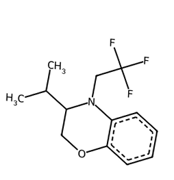 CC(C)C1COc2ccccc2N1CC(F)(F)F